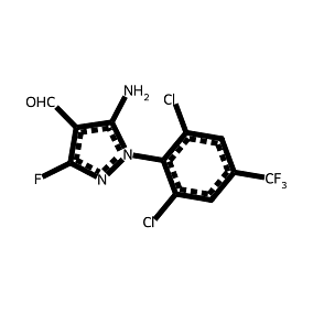 Nc1c(C=O)c(F)nn1-c1c(Cl)cc(C(F)(F)F)cc1Cl